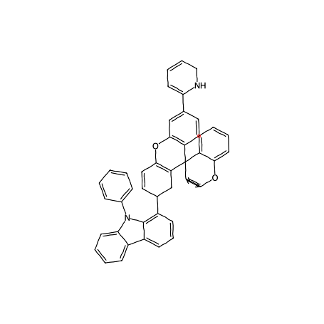 C1=CCNC(c2ccc3c(c2)OC2=C(CC(c4cccc5c6ccccc6n(-c6ccccc6)c45)C=C2)C32c3ccccc3Oc3ccccc32)=C1